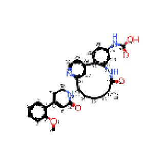 COc1ccccc1C1=CC(=O)N([C@H]2CCC[C@@H](C)C(=O)Nc3cc(NC(=O)O)ccc3-c3ccnc2c3)CC1